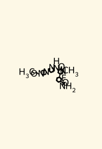 COCCN1CCN(c2ccc(Nc3cc(-c4cccc(C(N)=O)c4F)cn(C)c3=O)nc2)CC1